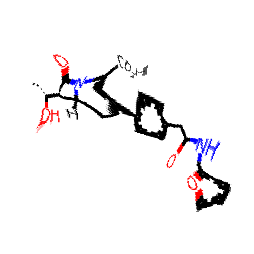 C[C@@H](O)[C@H]1C(=O)N2C(C(=O)O)=C(c3ccc(CC(=O)Nc4ccco4)cc3)C[C@H]12